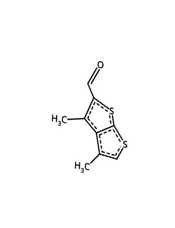 Cc1csc2sc(C=O)c(C)c12